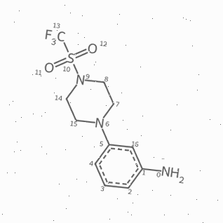 Nc1cccc(N2CCN(S(=O)(=O)C(F)(F)F)CC2)c1